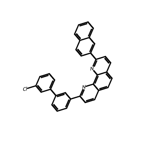 Clc1cccc(-c2cccc(-c3ccc4ccc5ccc(-c6ccc7ccccc7c6)nc5c4n3)c2)c1